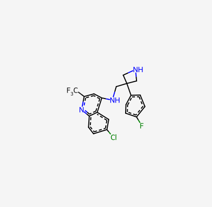 Fc1ccc(C2(CNc3cc(C(F)(F)F)nc4ccc(Cl)cc34)CNC2)cc1